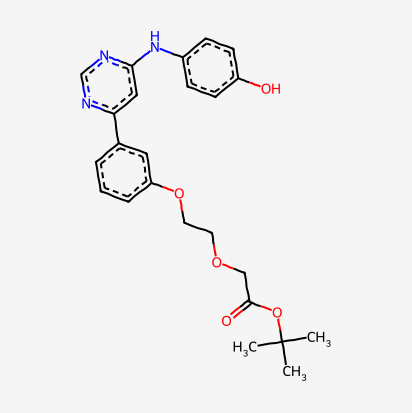 CC(C)(C)OC(=O)COCCOc1cccc(-c2cc(Nc3ccc(O)cc3)ncn2)c1